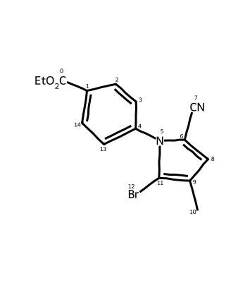 CCOC(=O)c1ccc(-n2c(C#N)cc(C)c2Br)cc1